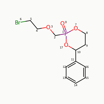 O=P1(COCCBr)OCCC(c2ccccc2)O1